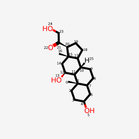 C[C@]12CCC(O)CC1CC[C@@H]1C2[C@@H](O)C[C@@]2(C)C1CC[C@@H]2C(=O)CO